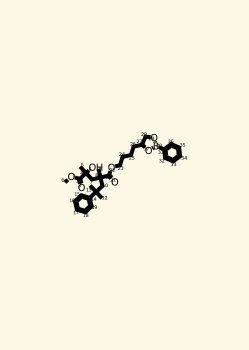 COC(=O)C(C)(O)CC(C)(CC(C)(C)c1ccccc1)C(=O)OCCCCC1COB(c2ccccc2)O1